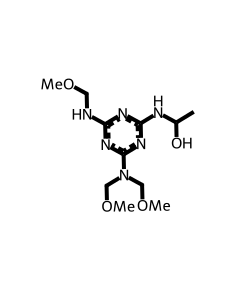 COCNc1nc(NC(C)O)nc(N(COC)COC)n1